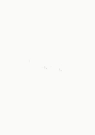 CCN(CC)CC(=O)NCCO